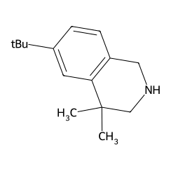 CC(C)(C)c1ccc2c(c1)C(C)(C)CNC2